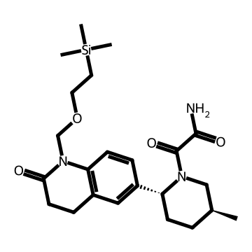 C[C@H]1CC[C@H](c2ccc3c(c2)CCC(=O)N3COCC[Si](C)(C)C)N(C(=O)C(N)=O)C1